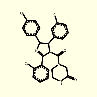 O=C1CN(C(=O)N2C(c3ccccc3Cl)=NC(c3ccc(Cl)cc3)C2c2cccc(Cl)c2)CCN1